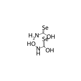 NC(O)=[Se].ONC(O)=[Se]